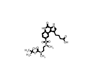 CN(CCN(C)S(=O)(=O)c1ccc2[nH]c(=O)c3[nH]cc(CCCC(=O)O)c3c2c1)C(=O)OC(C)(C)C